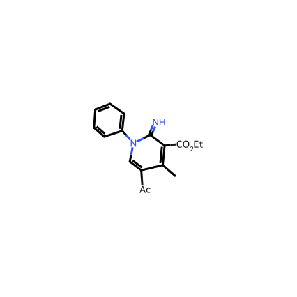 CCOC(=O)c1c(C)c(C(C)=O)cn(-c2ccccc2)c1=N